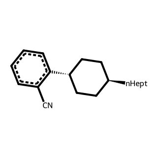 CCCCCCC[C@H]1CC[C@H](c2ccccc2C#N)CC1